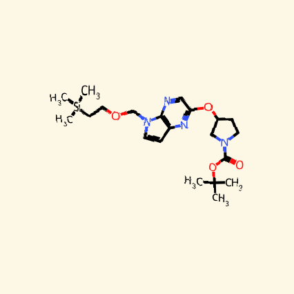 CC(C)(C)OC(=O)N1CCC(Oc2cnc3c(ccn3COCC[Si](C)(C)C)n2)C1